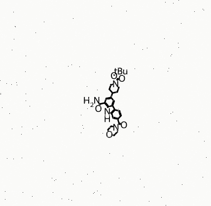 CC(C)(C)OC(=O)N1CCC(c2cc(C(N)=O)c3[nH]c4cc(C(=O)N5CCOCC5)ccc4c3c2)CC1